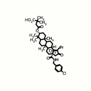 CC(C)C1=C2[C@H]3CCC4[C@@]5(C)CC[C@H](OC(=O)CC(C)(C)C(=O)O)C(C)(C)C5CC[C@@]4(C)[C@]3(C)CC[C@@]2(C(=O)NCc2ccc(Cl)cc2)CC1=O